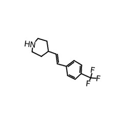 FC(F)(F)c1ccc(C=CC2CCNCC2)cc1